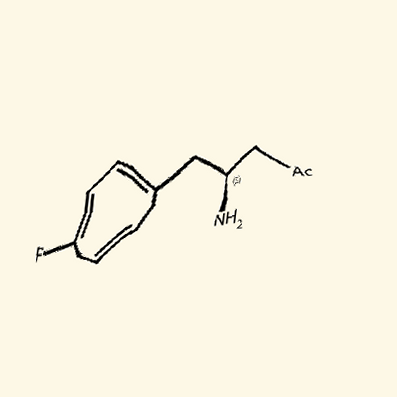 CC(=O)C[C@@H](N)Cc1ccc(F)cc1